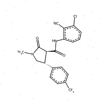 CN1C[C@@H](c2ccc(C(F)(F)F)cc2)[C@H](C(=O)Nc2cccc(Cl)c2C#N)C1=O